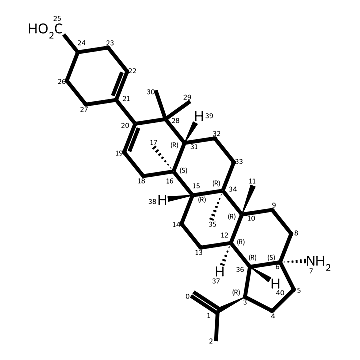 C=C(C)[C@@H]1CC[C@]2(N)CC[C@]3(C)[C@H](CC[C@@H]4[C@@]5(C)CC=C(C6=CCC(C(=O)O)CC6)C(C)(C)[C@@H]5CC[C@]43C)[C@@H]12